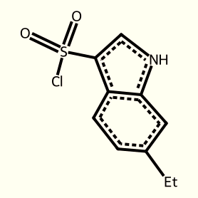 CCc1ccc2c(S(=O)(=O)Cl)c[nH]c2c1